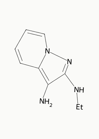 [CH2]CNc1nn2ccccc2c1N